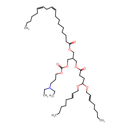 CCCCC/C=C\C/C=C\CCCCCCCC(=O)OCC(COC(=O)CCC(OC/C=C/CCCCC)OC/C=C/CCCCC)COC(=O)OCCCN(CC)CC